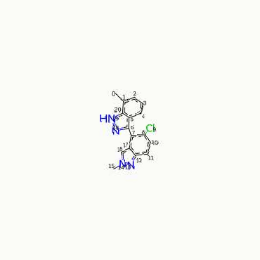 Cc1cccc2c(-c3c(Cl)ccc4nn(C)cc34)n[nH]c12